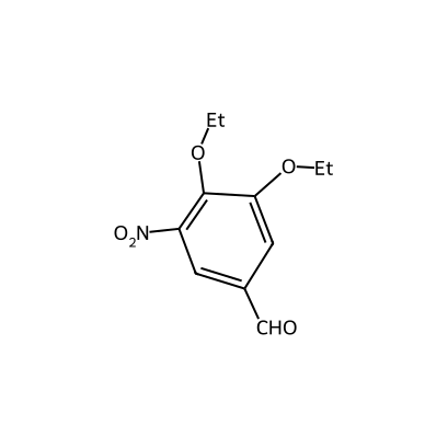 CCOc1cc(C=O)cc([N+](=O)[O-])c1OCC